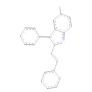 Brc1ccc2[nH]c(C=Cc3ccccc3)c(-c3ccccc3)c2c1